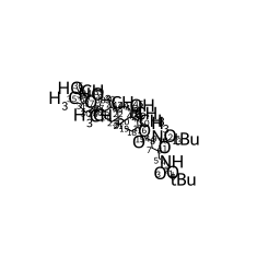 CC(C)(C)OC(=O)NCCC[C@H](NC(=O)OC(C)(C)C)C(=O)O[C@H]1CC[C@]23CC24CC[C@]2(C)[C@@H]([C@@]5(C)CC[C@@H](C(C)(C)O)O5)[C@@H](O)C[C@@]2(C)C4C[C@H](O)[C@H]3C1(C)C